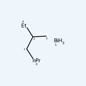 CCCCC(C)CC.[BiH3]